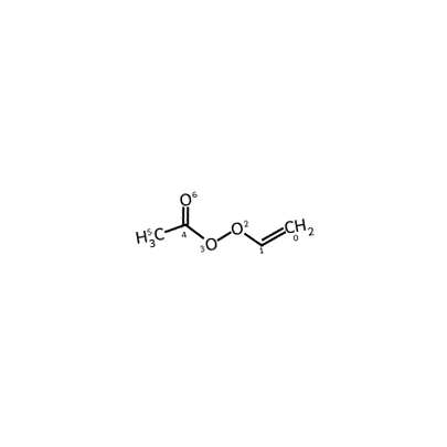 C=COOC(C)=O